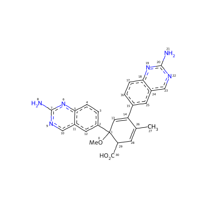 COC1(c2ccc3nc(N)ncc3c2)C=C(c2ccc3nc(N)ncc3c2)C(C)=CC1C(=O)O